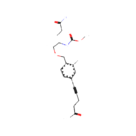 COC(=O)CCC#Cc1ccc(CO[C@H](C)[C@H](CCC(N)=O)NC(=O)OC(C)(C)C)c(C)c1